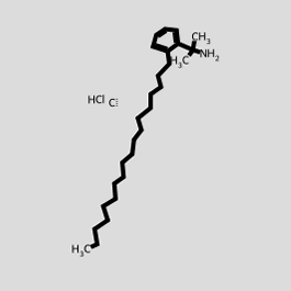 CCCCCCCCCCCCCCCCCCc1ccccc1C(C)(C)N.Cl.[C]